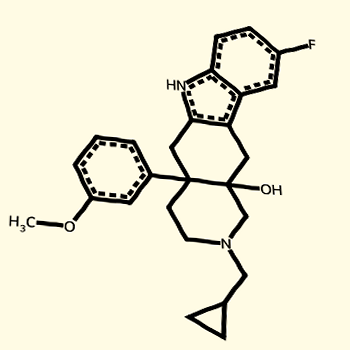 COc1cccc(C23CCN(CC4CC4)CC2(O)Cc2c([nH]c4ccc(F)cc24)C3)c1